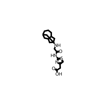 O=C(O)Cc1csc(NC(=O)CNC23CC4CCCC(C2)C(C4)C3)n1